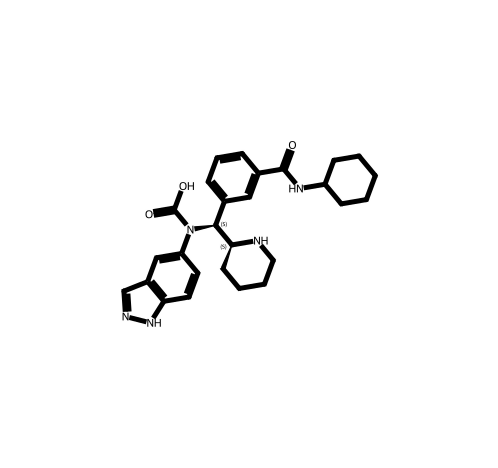 O=C(NC1CCCCC1)c1cccc([C@@H]([C@@H]2CCCCN2)N(C(=O)O)c2ccc3[nH]ncc3c2)c1